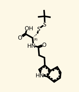 CC(C)(C)SSC[C@H](NC(=O)CCc1c[nH]c2ccccc12)C(=O)O